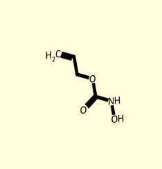 C=CCOC(=O)NO